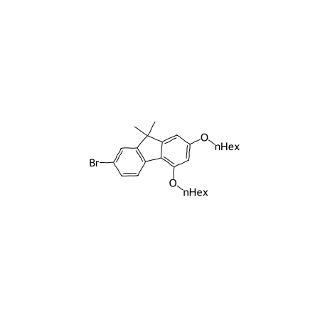 CCCCCCOc1cc(OCCCCCC)c2c(c1)C(C)(C)c1cc(Br)ccc1-2